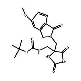 COc1ccc2c(c1)CN(CC1(CNC(=O)OC(C)(C)C)NC(=O)NC1=O)C2=O